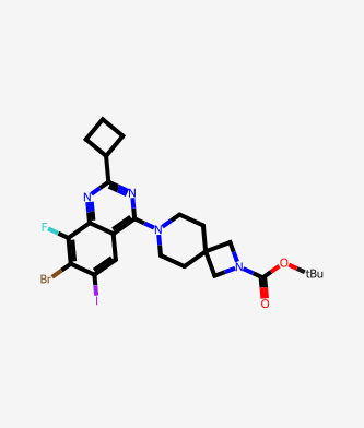 CC(C)(C)OC(=O)N1CC2(CCN(c3nc(C4CCC4)nc4c(F)c(Br)c(I)cc34)CC2)C1